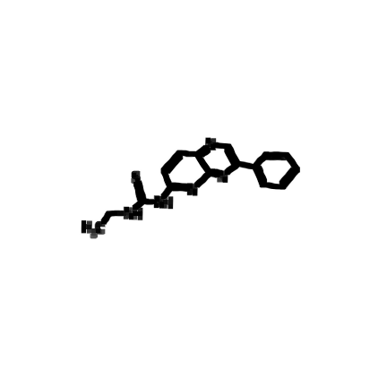 CCNC(=S)Nc1ccc2ncc(-c3ccccc3)nc2n1